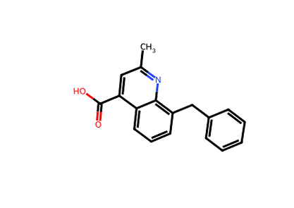 Cc1cc(C(=O)O)c2cccc(Cc3ccccc3)c2n1